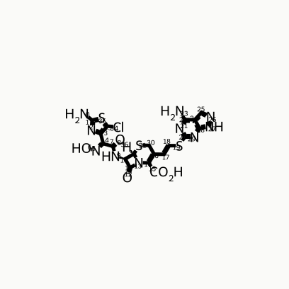 Nc1nc(C(=NO)C(=O)N[C@@H]2C(=O)N3C(C(=O)O)=C(C=CSc4nc(N)c5cn[nH]c5n4)CS[C@H]23)c(Cl)s1